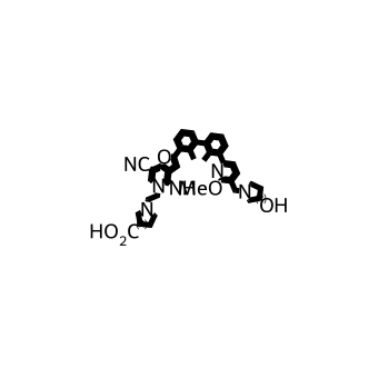 COc1nc(-c2cccc(-c3cccc(-c4cc5c(=N)n(CCN6CC[C@@H](C(=O)O)C6)cc(C#N)c5o4)c3C)c2C)ccc1CN1CC[C@@H](O)C1